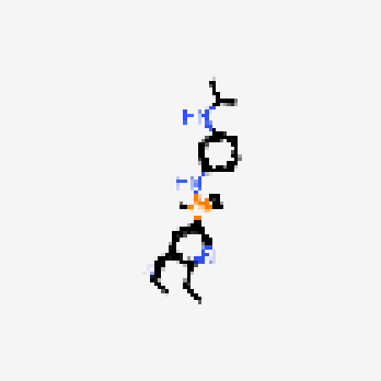 C/C=C\c1cc(P2(C)(Nc3cccc(NC(C)C)c3)C=C2)cnc1CC